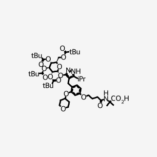 CC(C)c1[nH]nc(O[C@@H]2O[C@H](COC(=O)C(C)(C)C)[C@@H](OC(=O)C(C)(C)C)[C@H](OC(=O)C(C)(C)C)[C@H]2OC(=O)C(C)(C)C)c1Cc1ccc(OCCCC(=O)NC(C)(C)C(=O)O)cc1OC1CCOCC1